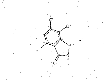 O=C1OCc2c(Cl)c(Cl)cc(F)c21